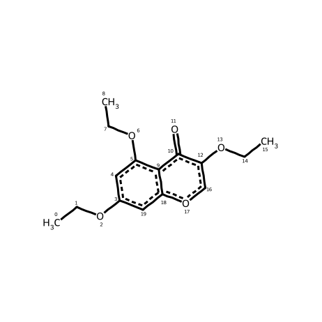 CCOc1cc(OCC)c2c(=O)c(OCC)coc2c1